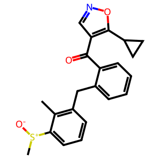 Cc1c(Cc2ccccc2C(=O)c2cnoc2C2CC2)cccc1[S+](C)[O-]